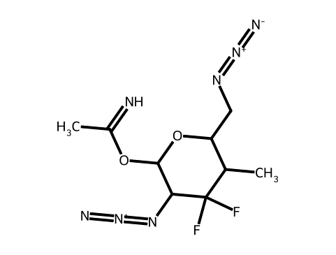 CC(=N)OC1OC(CN=[N+]=[N-])C(C)C(F)(F)C1N=[N+]=[N-]